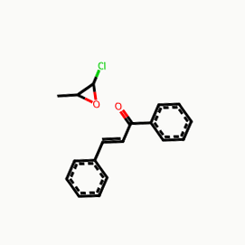 CC1OC1Cl.O=C(C=Cc1ccccc1)c1ccccc1